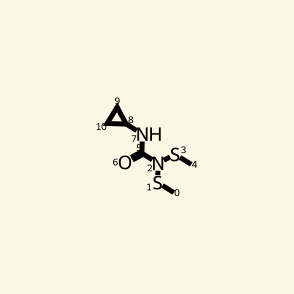 CSN(SC)C(=O)NC1CC1